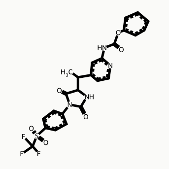 CC(c1ccnc(NC(=O)Oc2ccccc2)c1)C1NC(=O)N(c2ccc(S(=O)(=O)C(F)(F)F)cc2)C1=O